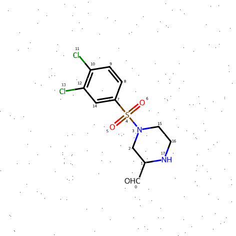 O=CC1CN(S(=O)(=O)c2ccc(Cl)c(Cl)c2)CCN1